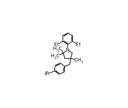 CCc1cccc(CC)c1N1CC(C)(Cc2ccc(C(C)C)cc2)CC1(C)C